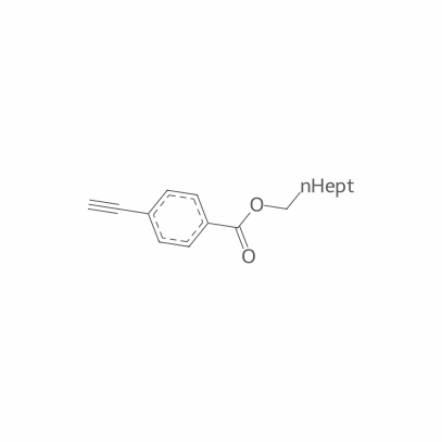 C#Cc1ccc(C(=O)OCCCCCCCC)cc1